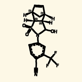 N#Cc1ccc(N2C(O)[C@@H]3[C@@H]([C@@H]4C=C[C@H]3C4)S2(=O)=O)cc1C(F)(F)F